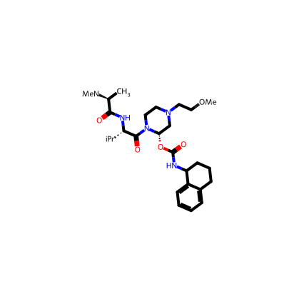 CN[C@@H](C)C(=O)N[C@H](C(=O)N1CCN(CCOC)C[C@@H]1OC(=O)NC1CCCc2ccccc21)C(C)C